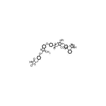 CCCc1nc(CS(=O)(=O)c2ccc(Oc3ccc4nc(COc5ccc(CC6SC(=O)NC6=O)cc5)n(C)c4c3)cc2)c(C(=O)O)n1Cc1ccc(-c2ccccc2-c2nnn[nH]2)cc1